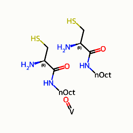 CCCCCCCCNC(=O)[C@@H](N)CS.CCCCCCCCNC(=O)[C@@H](N)CS.[O]=[V]